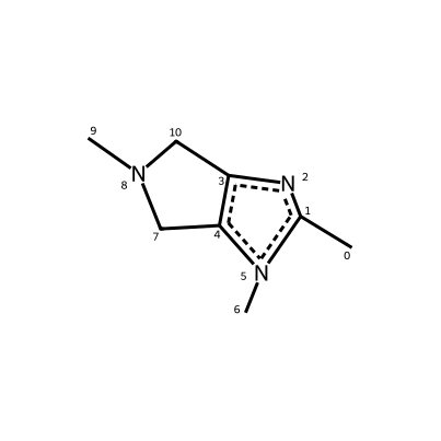 Cc1nc2c(n1C)CN(C)C2